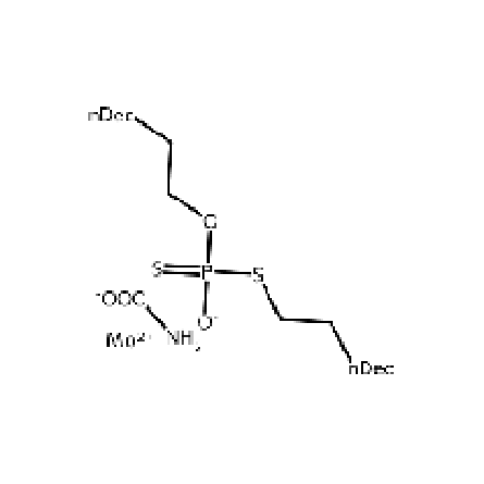 CCCCCCCCCCCCOP([O-])(=S)SCCCCCCCCCCCC.NC(=O)[O-].[Mo+2]